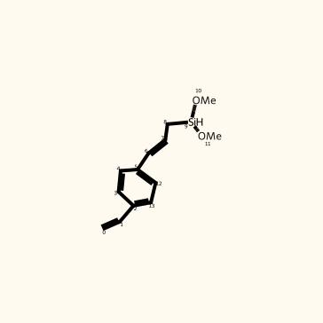 C=Cc1ccc(C=CC[SiH](OC)OC)cc1